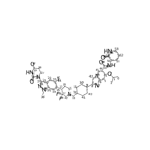 CC(C)Oc1cc2nc(C3CCC(CN4CCC(c5cc6c(cc5F)c(N5CCC(=O)NC5=O)nn6C)C(F)(F)C4)CC3)cn2cc1C(=O)Nc1ccc[nH]c1=O